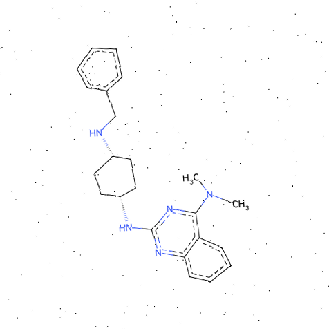 CN(C)c1nc(N[C@H]2CC[C@@H](NCc3ccccc3)CC2)nc2ccccc12